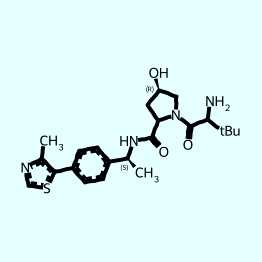 Cc1ncsc1-c1ccc([C@H](C)NC(=O)C2C[C@@H](O)CN2C(=O)C(N)C(C)(C)C)cc1